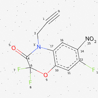 C#CCN1C(=O)C(F)(F)Oc2cc(F)c([N+](=O)[O-])cc21